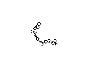 C=C(C)C(=O)OCCOc1ccc(C(=O)/C=C/c2ccc(OCCOC(=O)C(=C)CC(=O)OC3CCCCC3)cc2)cc1